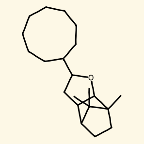 CC1(C)C2CCC1(C)C1OC([C]3CCCCCCCC3)CC21